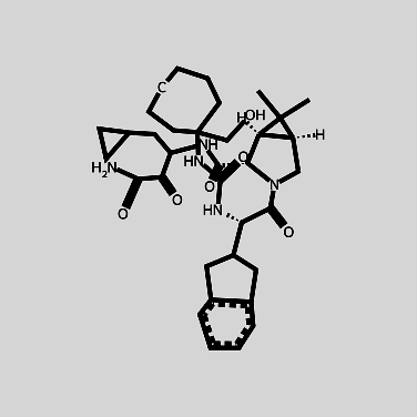 CC1(C)[C@@H]2[C@@H](C(=O)NC(CC3CC3)C(=O)C(N)=O)N(C(=O)[C@@H](NC(=O)NC3(CO)CCCCCC3)C3Cc4ccccc4C3)C[C@@H]21